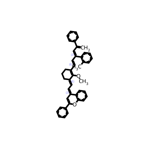 C=C(/C=C(/C=C/C1=C(OC)C(=C/C=C2/C=C(c3ccccc3)Oc3ccccc32)/CCC1)c1ccccc1C)c1ccccc1